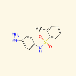 Cc1ccccc1S(=O)(=O)Nc1ccc(NN)cc1